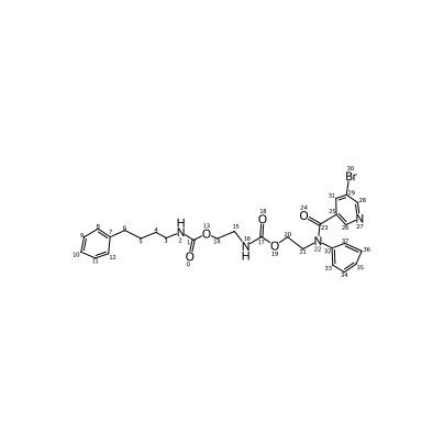 O=C(NCCCCc1ccccc1)OCCNC(=O)OCCN(C(=O)c1cncc(Br)c1)c1ccccc1